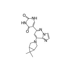 CC1(C)C2CN(c3cc(-c4c[nH]c(=O)[nH]c4=O)nn4ccnc34)CC21